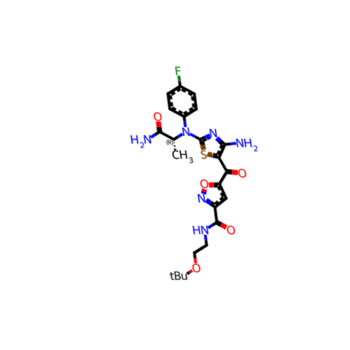 C[C@H](C(N)=O)N(c1ccc(F)cc1)c1nc(N)c(C(=O)c2cc(C(=O)NCCOC(C)(C)C)no2)s1